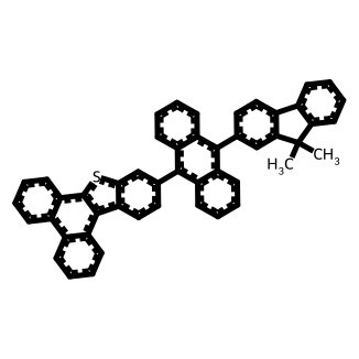 CC1(C)c2ccccc2-c2ccc(-c3c4ccccc4c(-c4ccc5c(c4)sc4c6ccccc6c6ccccc6c54)c4ccccc34)cc21